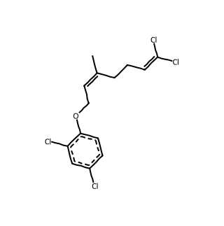 CC(=CCOc1ccc(Cl)cc1Cl)CCC=C(Cl)Cl